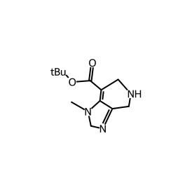 CN1CN=C2CNCC(C(=O)OC(C)(C)C)=C21